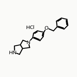 Cl.c1ccc(COc2ccc(N3CC4CNCC4C3)cc2)cc1